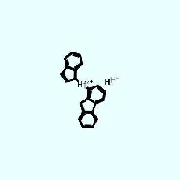 C1=C[CH]([Hf+2][c]2cccc3c2Cc2ccccc2-3)c2ccccc21.[H-].[H-]